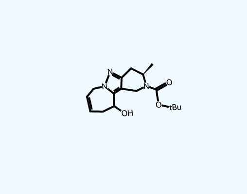 C[C@@H]1Cc2nn3c(c2CN1C(=O)OC(C)(C)C)C(O)CC=CC3